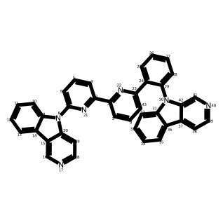 c1cc(-c2cccc(-n3c4ccccc4c4cnccc43)n2)nc(-c2ccccc2-n2c3ccccc3c3ccncc32)c1